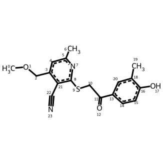 COCc1cc(C)nc(SCC(=O)c2ccc(O)c(C)c2)c1C#N